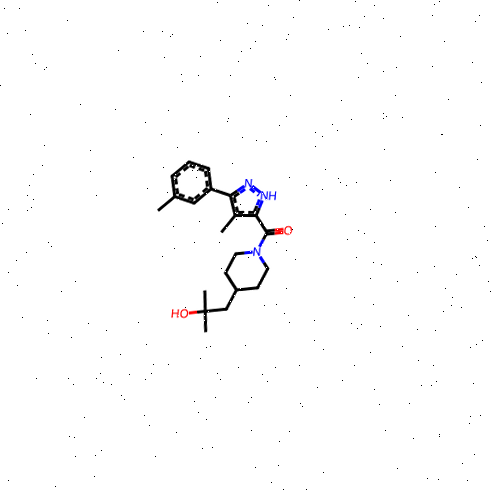 Cc1cccc(-c2n[nH]c(C(=O)N3CCC(CC(C)(C)O)CC3)c2C)c1